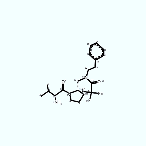 CC(C)[C@H](N)C(=O)N1CCC[C@H]1CN(CCc1ccccc1)C(=O)C(F)(F)F